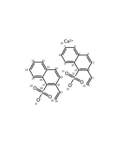 C=Cc1ccc2ccccc2c1S(=O)(=O)[O-].C=Cc1ccc2ccccc2c1S(=O)(=O)[O-].[Ca+2]